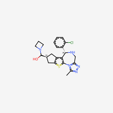 Cc1nnc2n1-c1sc3c(c1[C@H](c1ccccc1Cl)NC2)C[C@H](C(O)N1CCC1)C3